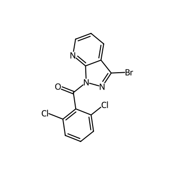 O=C(c1c(Cl)cccc1Cl)n1nc(Br)c2cccnc21